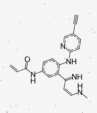 C#Cc1ccc(Nc2ccc(NC(=O)C=C)cc2C(=N)/C=C\NC)nc1